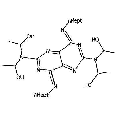 CCCCCCCN=C1N=C(N(C(C)O)C(C)O)N=C2C(=NCCCCCCC)N=C(N(C(C)O)C(C)O)N=C12